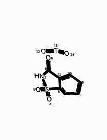 O=C1NS(=O)(=O)c2ccccc21.[O]=[Ti]=[O]